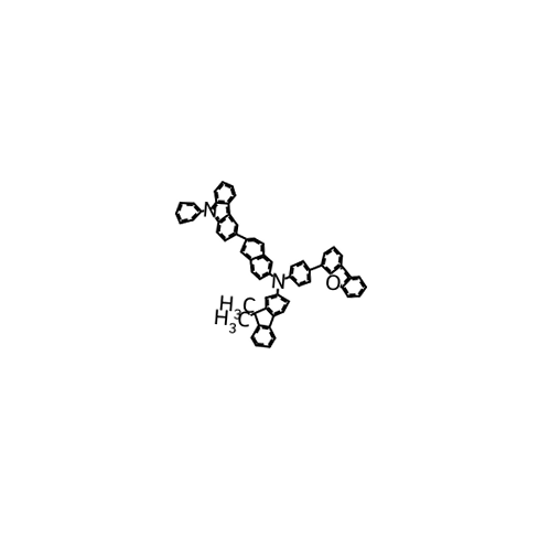 CC1(C)c2ccccc2-c2ccc(N(c3ccc(-c4cccc5c4oc4ccccc45)cc3)c3ccc4cc(-c5ccc6c(c5)c5ccccc5n6-c5ccccc5)ccc4c3)cc21